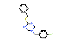 Fc1ccc(CN2CN=C(SCc3ccccc3)NC2)cc1